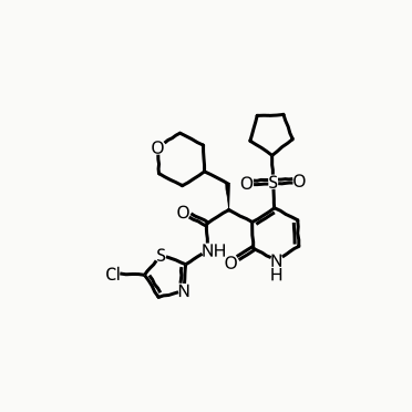 O=C(Nc1ncc(Cl)s1)[C@@H](CC1CCOCC1)c1c(S(=O)(=O)C2CCCC2)cc[nH]c1=O